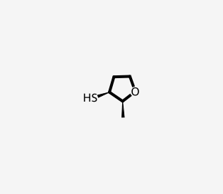 C[C@@H]1OCC[C@@H]1S